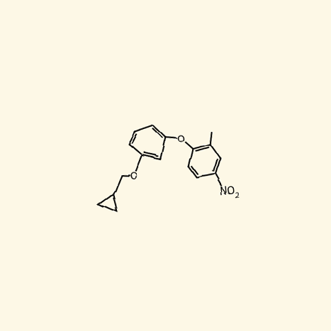 Cc1cc([N+](=O)[O-])ccc1Oc1cccc(OCC2CC2)c1